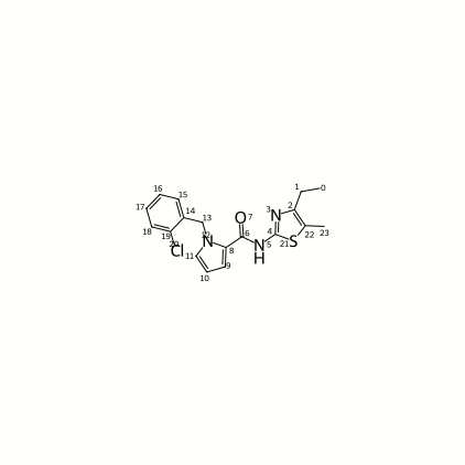 CCc1nc(NC(=O)c2cccn2Cc2ccccc2Cl)sc1C